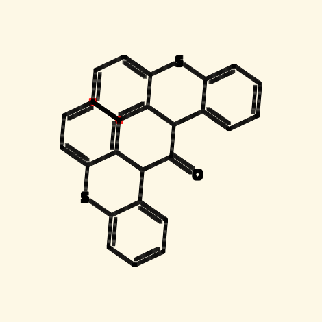 O=C(C1c2ccccc2Sc2ccccc21)C1c2ccccc2Sc2ccccc21